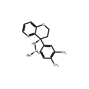 Cc1ccc([C@@]2(N[S@@+]([O-])C(C)(C)C)CCOc3cccnc32)cc1C